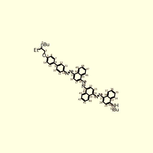 CCCCC(CC)COc1ccc(-c2ccc(N=Nc3ccc(N=Nc4ccc(N=Nc5ccc(NC(C)CC)c6ccccc56)c5ccccc45)c4ccccc34)cc2)cc1